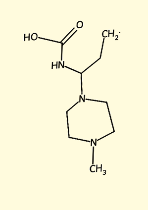 [CH2]CC(NC(=O)O)N1CCN(C)CC1